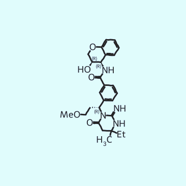 CCC1(C)CC(=O)N([C@H](CCOC)c2cccc(C(=O)N[C@@H]3c4ccccc4OC[C@@H]3O)c2)C(=N)N1